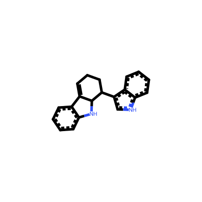 C1=C2c3ccccc3NC2C(c2c[nH]c3ccccc23)CC1